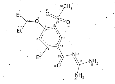 CCc1cc(OC(CC)CC)c(S(C)(=O)=O)cc1C(=O)N=C(N)N